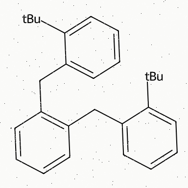 CC(C)(C)c1ccccc1Cc1[c]cccc1Cc1ccccc1C(C)(C)C